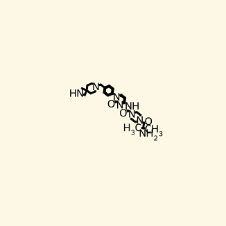 CC(C)(N)C(=O)N1CCN(C(=O)Nc2ccn(-c3ccc(CN4CCC5(CC4)CNC5)cc3)c(=O)n2)CC1